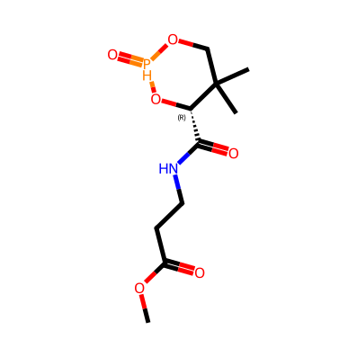 COC(=O)CCNC(=O)[C@@H]1O[PH](=O)OCC1(C)C